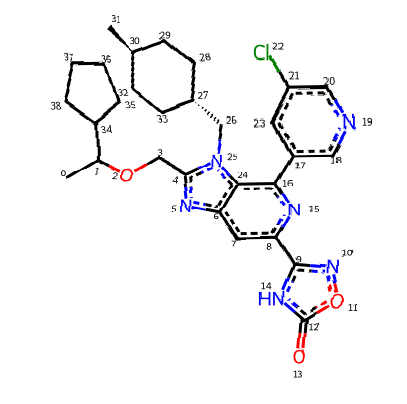 CC(OCc1nc2cc(-c3noc(=O)[nH]3)nc(-c3cncc(Cl)c3)c2n1C[C@H]1CC[C@H](C)CC1)C1CCCC1